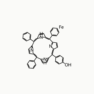 Oc1ccc(-c2c3nc(c(-c4ccccc4)c4ccc([nH]4)c(-c4ccccc4)c4nc(c(-c5ccccc5)c5ccc2[nH]5)C=C4)C=C3)cc1.[Fe]